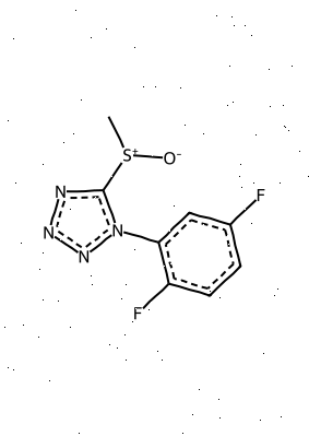 C[S+]([O-])c1nnnn1-c1cc(F)ccc1F